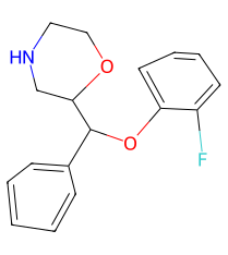 Fc1ccccc1OC(c1ccccc1)C1CNCCO1